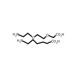 NCCCCCC(=O)O.NCCOCCOCC(=O)O